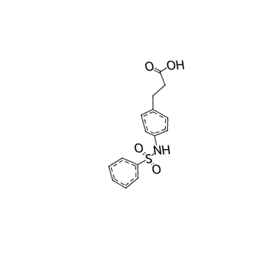 O=C(O)CCc1ccc(NS(=O)(=O)c2ccccc2)cc1